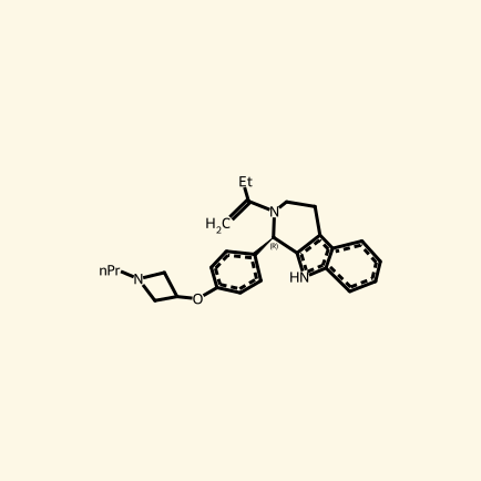 C=C(CC)N1CCc2c([nH]c3ccccc23)[C@H]1c1ccc(OC2CN(CCC)C2)cc1